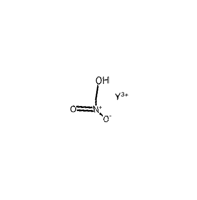 O=[N+]([O-])O.[Y+3]